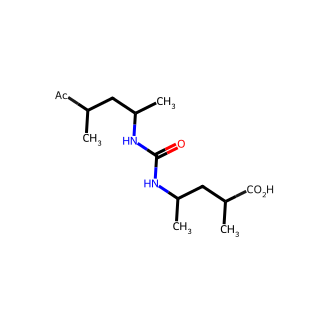 CC(=O)C(C)CC(C)NC(=O)NC(C)CC(C)C(=O)O